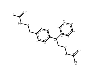 CC(=O)NCCc1ccc(C(CCCC(=O)O)c2cccnc2)cc1